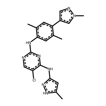 Cc1cc(Nc2nc(Nc3cc(C)c(-c4cnn(C)c4)cc3C)ncc2Cl)n[nH]1